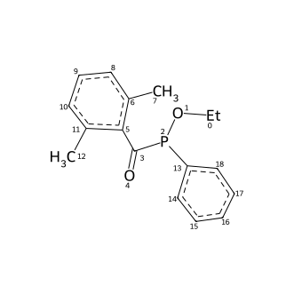 CCOP(C(=O)c1c(C)cccc1C)c1ccccc1